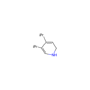 CC(C)C1=CCNC=C1C(C)C